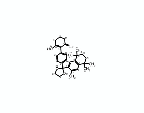 Cc1cc2c(cc1C1(c3ccc(C4=C(O)CCCC4=O)cc3)OCCO1)C(C)(C)CCC2(C)C